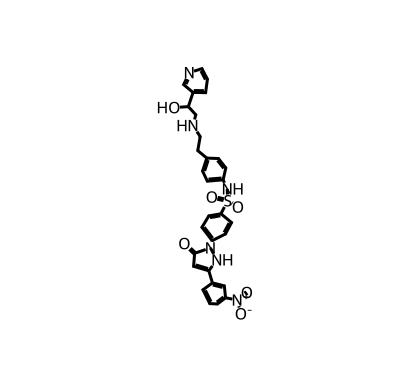 O=c1cc(-c2cccc([N+](=O)[O-])c2)[nH]n1-c1ccc(S(=O)(=O)Nc2ccc(CCNCC(O)c3cccnc3)cc2)cc1